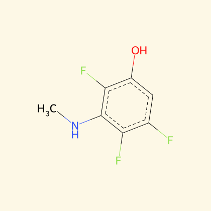 CNc1c(F)c(O)cc(F)c1F